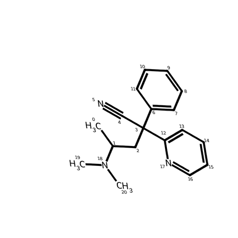 CC(CC(C#N)(c1ccccc1)c1ccccn1)N(C)C